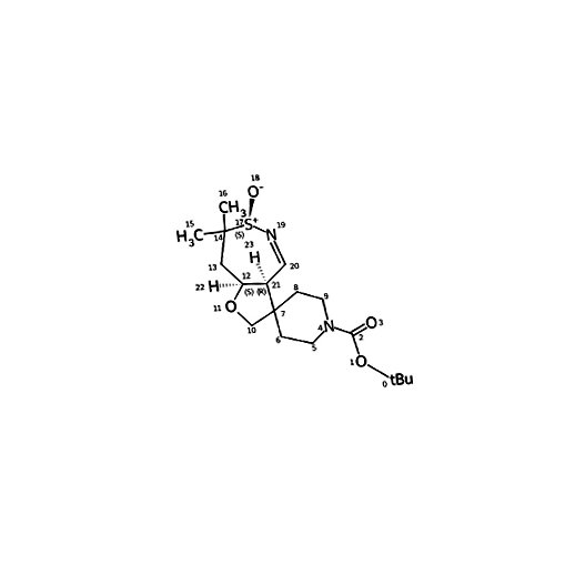 CC(C)(C)OC(=O)N1CCC2(CC1)CO[C@H]1CC(C)(C)[S@@+]([O-])N=C[C@H]12